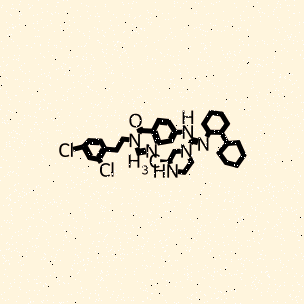 C[C@H]1CN(/C(=N/C2CCCCC2C2CCCCC2)Nc2ccc3c(=O)n(CCc4ccc(Cl)cc4Cl)cnc3c2)CCN1